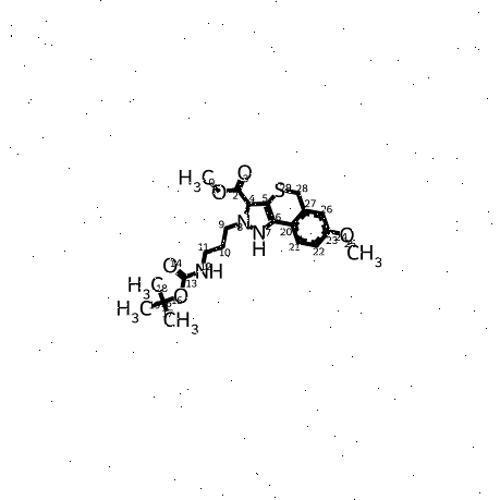 COC(=O)C1C2=C(NN1CCCNC(=O)OC(C)(C)C)c1ccc(OC)cc1CS2